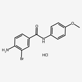 COc1ccc(NC(=O)c2ccc(N)c(Br)c2)cc1.Cl